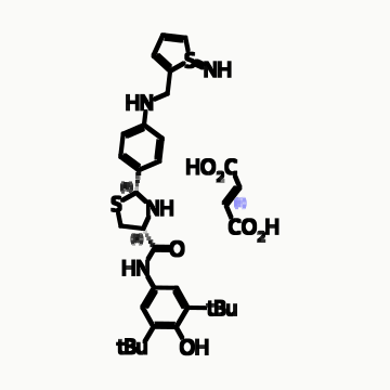 CC(C)(C)c1cc(NC(=O)[C@@H]2CS[C@H](c3ccc(NCC4=CC=CS4=N)cc3)N2)cc(C(C)(C)C)c1O.O=C(O)/C=C/C(=O)O